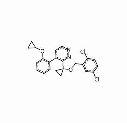 Clc1ccc(Cl)c(COC2(c3nnccc3-c3ccccc3OC3CC3)CC2)c1